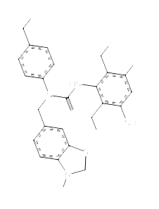 CCc1ccc(N(Cc2ccc3c(c2)NCN3C)C(=O)Nc2c(CC)c(N)cc(Cl)c2CC)cc1